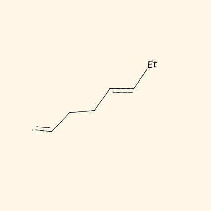 [CH]=CCCC=CC[CH2]